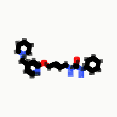 O=C(NCC=CCOc1cc(CN2CCCCC2)ccn1)NC1CCCCC1